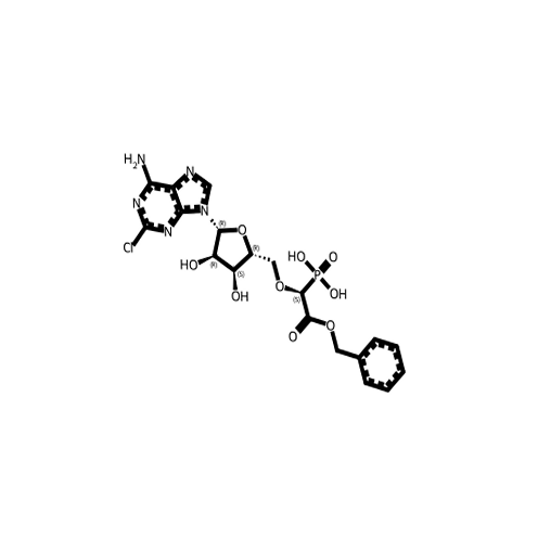 Nc1nc(Cl)nc2c1ncn2[C@@H]1O[C@H](CO[C@H](C(=O)OCc2ccccc2)P(=O)(O)O)[C@@H](O)[C@H]1O